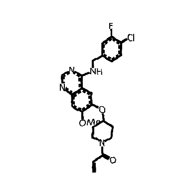 C=CC(=O)N1CCC(Oc2cc3c(NCc4ccc(Cl)c(F)c4)ncnc3cc2OC)CC1